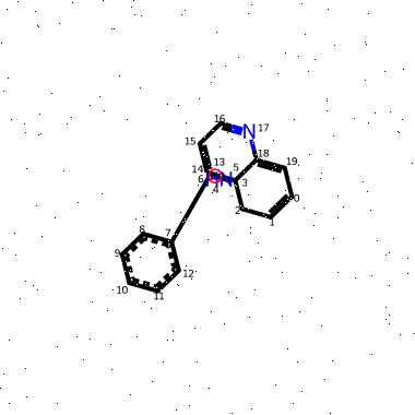 C1=CCC23NCC(c4ccccc4)OC2=CC=NC3=C1